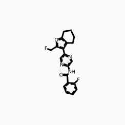 O=C(Nc1cnc(-c2c(CF)oc3c2CCCC3)cn1)c1ccccc1F